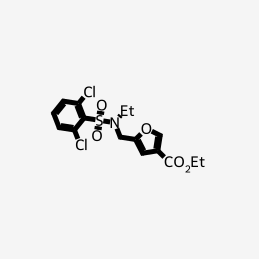 CCOC(=O)c1coc(CN(CC)S(=O)(=O)c2c(Cl)cccc2Cl)c1